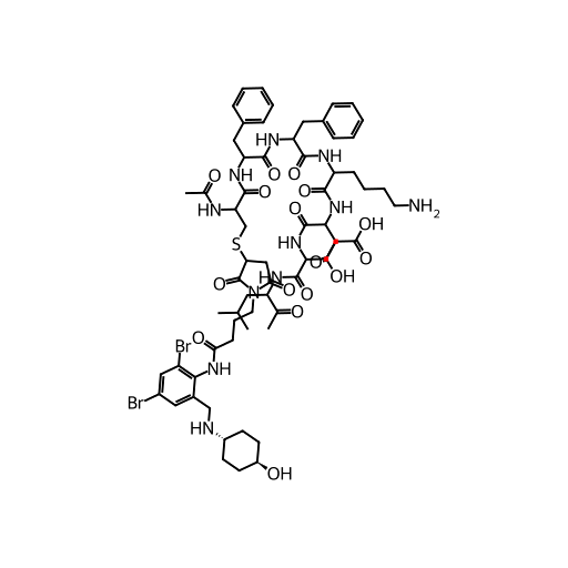 CC(=O)NC(CSC1CC(=O)N(CCCC(=O)Nc2c(Br)cc(Br)cc2CN[C@H]2CC[C@H](O)CC2)C1=O)C(=O)NC(Cc1ccccc1)C(=O)NC(Cc1ccccc1)C(=O)NC(CCCCN)C(=O)NC(CC(=O)O)C(=O)NC(CCC(=O)O)C(=O)NC(CC(C)C)C(C)=O